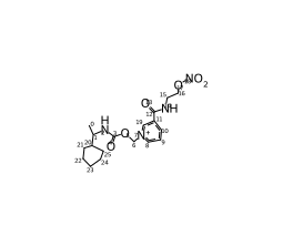 CC(NC(=O)OC[n+]1cccc(C(=O)NCCO[N+](=O)[O-])c1)C1CCCCC1